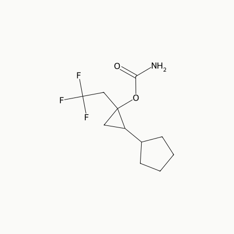 NC(=O)OC1(CC(F)(F)F)CC1C1CCCC1